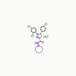 Cl.O=C(NN1CCCCCCC1)C1=NN(c2ccc(Cl)cc2Cl)C(c2ccc(Cl)cc2)C1